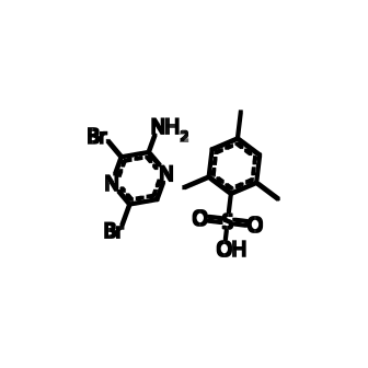 Cc1cc(C)c(S(=O)(=O)O)c(C)c1.Nc1ncc(Br)nc1Br